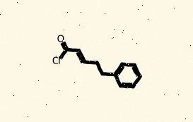 O=C(Cl)/C=C/CCc1ccccc1